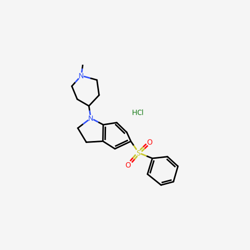 CN1CCC(N2CCc3cc(S(=O)(=O)c4ccccc4)ccc32)CC1.Cl